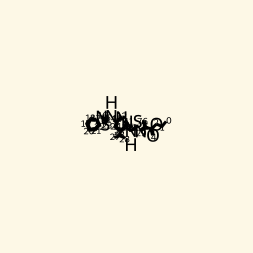 CCOC(=O)c1csc(Nc2nnc(Nc3nc4ccccc4s3)cc2C(C)C)n1